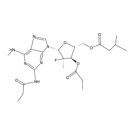 CCC(=O)Nc1nc(NC)c2ncn([C@@H]3O[C@H](COC(=O)CC(C)C)[C@@H](OC(=O)CC)[C@@]3(C)F)c2n1